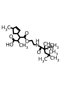 CPC(C)(CC(C)(C)C)C(=O)NCCOC(=O)C(C1C=CC(C)C1)C(C)C(=O)O